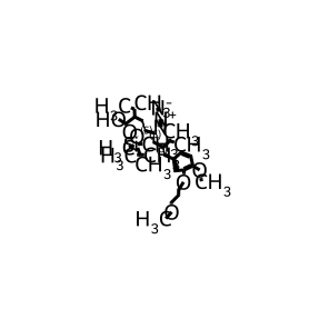 COCCCOc1cc(C[C@@H](C[C@H](N=[N+]=[N-])[C@H](CC(C(=O)O)C(C)C)O[Si](C)(C)C(C)(C)C)C(C)C)ccc1OC